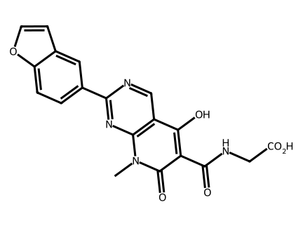 Cn1c(=O)c(C(=O)NCC(=O)O)c(O)c2cnc(-c3ccc4occc4c3)nc21